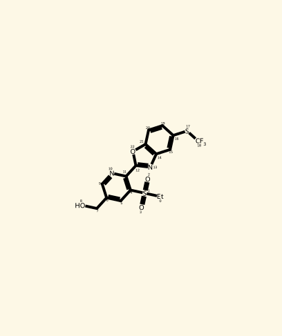 CCS(=O)(=O)c1cc(CO)cnc1-c1nc2cc(SC(F)(F)F)ccc2o1